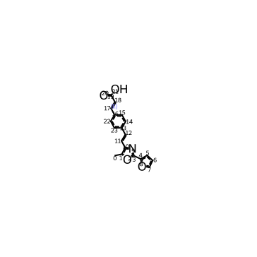 Cc1oc(-c2ccco2)nc1C=Cc1ccc(/C=C/C(=O)O)cc1